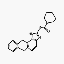 O=C(Sc1nc2ccc3c(c2[nH]1)Cc1ccccc1C3)N1CCCCC1